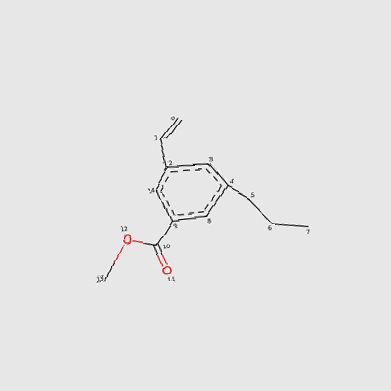 C=[C]c1cc(CCC)cc(C(=O)OC)c1